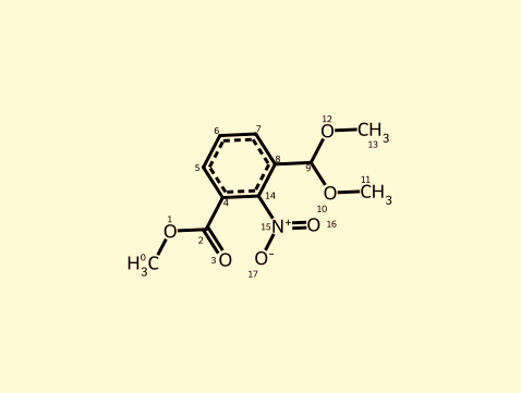 COC(=O)c1cccc(C(OC)OC)c1[N+](=O)[O-]